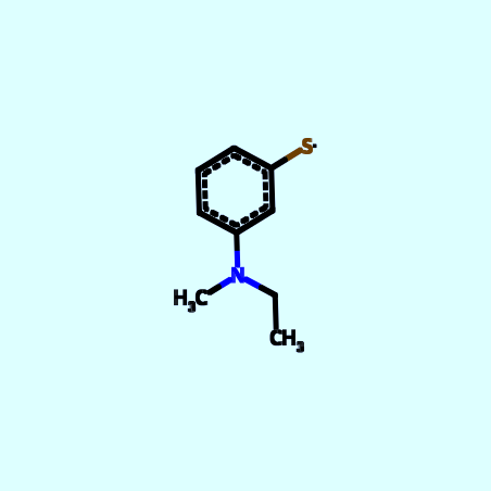 CCN(C)c1cccc([S])c1